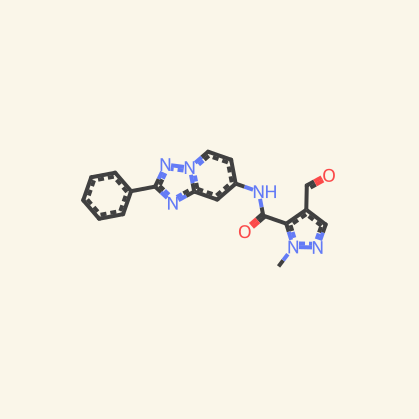 Cn1ncc(C=O)c1C(=O)Nc1ccn2nc(-c3ccccc3)nc2c1